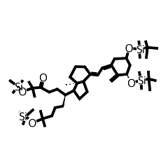 C=C1/C(=C\C=C2/CCC[C@@]3(C)C2CCC3[C@@H](CCCC(C)(C)O[Si](C)(C)C)CCC(=O)C(C)(C)O[Si](C)(C)C)CC(O[Si](C)(C)C(C)(C)C)C[C@@H]1O[Si](C)(C)C(C)(C)C